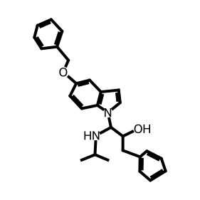 CC(C)NC(C(O)Cc1ccccc1)n1ccc2cc(OCc3ccccc3)ccc21